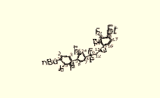 CCCCc1ccc(-c2ccc(C(F)(F)CCOc3ccc(CC)c(F)c3F)cc2F)c(F)c1F